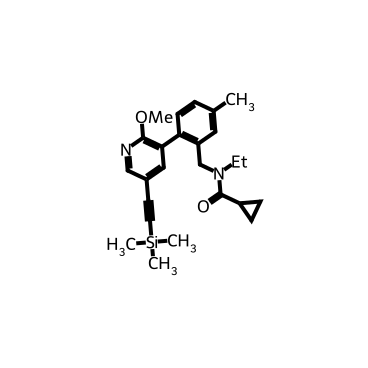 CCN(Cc1cc(C)ccc1-c1cc(C#C[Si](C)(C)C)cnc1OC)C(=O)C1CC1